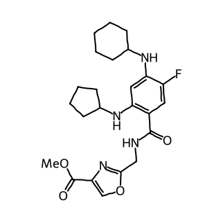 COC(=O)c1coc(CNC(=O)c2cc(F)c(NC3CCCCC3)cc2NC2CCCC2)n1